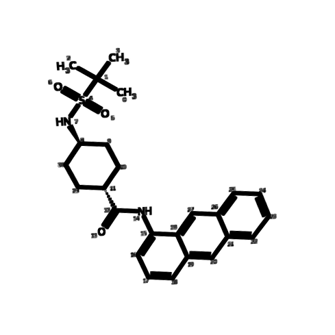 CC(C)(C)S(=O)(=O)N[C@H]1CC[C@H](C(=O)Nc2cccc3cc4ccccc4cc23)CC1